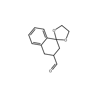 O=CC1Cc2ccccc2C2(C1)OCCO2